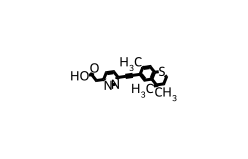 Cc1cc2c(cc1C#Cc1ccc(CC(=O)O)nn1)C(C)(C)CCS2